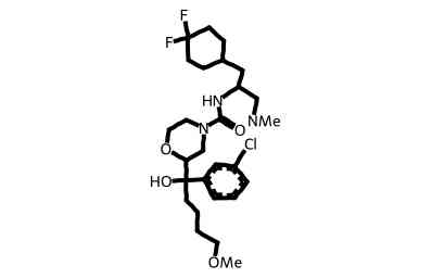 CNCC(CC1CCC(F)(F)CC1)NC(=O)N1CCOC(C(O)(CCCCOC)c2cccc(Cl)c2)C1